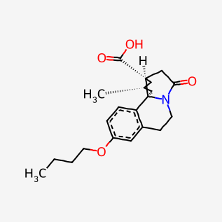 CCCCOc1ccc2c(c1)CCN1C(=O)C[C@H]3[C@H](C(=O)O)[C@@H](C)C[C@]231